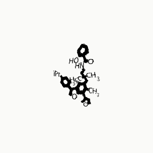 Cc1c(CC(C)(C)CCNC(=O)c2ccccc2O)c(C)c2c(c1-c1ccoc1)OCC2c1ccc(C(C)C)cc1